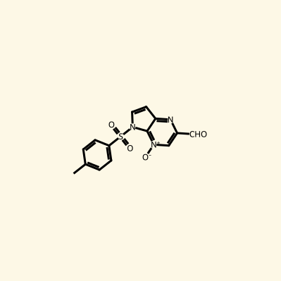 Cc1ccc(S(=O)(=O)n2ccc3nc(C=O)c[n+]([O-])c32)cc1